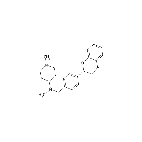 CN1CCC(N(C)Cc2ccc([C@H]3COc4ccccc4O3)cc2)CC1